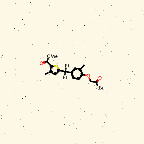 CCC(CC)(c1ccc(OCC(=O)C(C)(C)C)c(C)c1)c1cc(C)c(C(=O)OC)s1